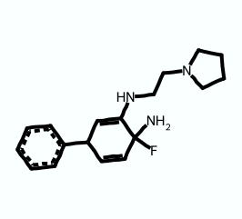 NC1(F)C=CC(c2ccccc2)C=C1NCCN1CCCC1